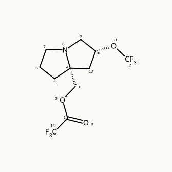 O=C(OC[C@]12CCCN1C[C@H](OC(F)(F)F)C2)C(F)(F)F